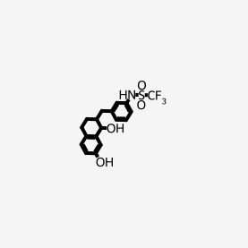 O=S(=O)(Nc1cccc(CC2CCc3ccc(O)cc3C2O)c1)C(F)(F)F